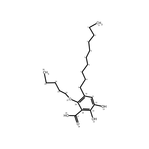 CCCCCCCCCCc1cc(O)c(O)c(C(=O)O)c1OCCCCC